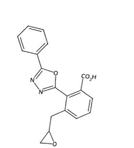 O=C(O)c1cccc(CC2CO2)c1-c1nnc(-c2ccccc2)o1